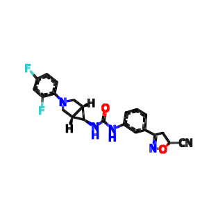 N#CC1CC(c2cccc(NC(=O)N[C@H]3[C@@H]4CN(c5ccc(F)cc5F)C[C@@H]43)c2)=NO1